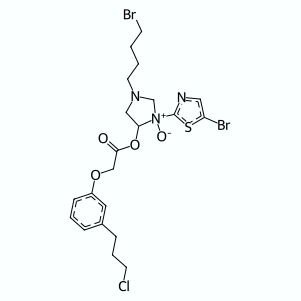 O=C(COc1cccc(CCCCl)c1)OC1CN(CCCCBr)C[N+]1([O-])c1ncc(Br)s1